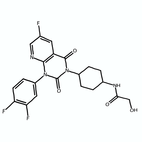 O=C(CO)NC1CCC(n2c(=O)c3cc(F)cnc3n(-c3ccc(F)c(F)c3)c2=O)CC1